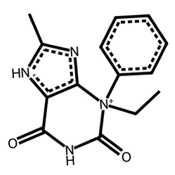 CC[N+]1(c2ccccc2)C(=O)NC(=O)c2[nH]c(C)nc21